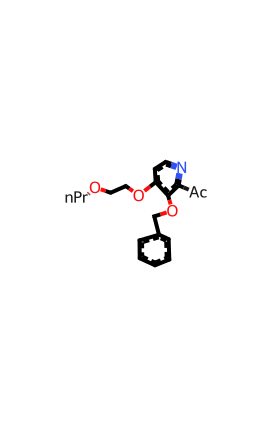 CCCOCCOc1ccnc(C(C)=O)c1OCc1ccccc1